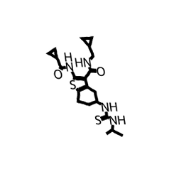 CC(C)NC(=S)NC1CCc2sc(NC(=O)C3CC3)c(C(=O)NCC3CC3)c2C1